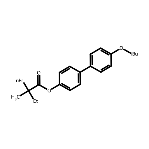 CCCC(C)(CC)C(=O)Oc1ccc(-c2ccc(OC(C)CC)cc2)cc1